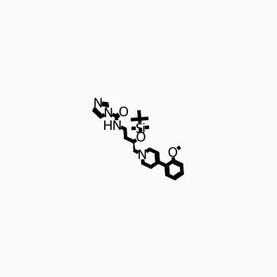 COc1ccccc1C1=CCN(C[C@@H](CCNC(=O)n2ccnc2)O[Si](C)(C)C(C)(C)C)CC1